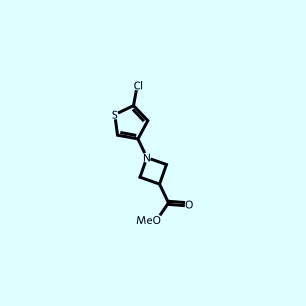 COC(=O)C1CN(c2csc(Cl)c2)C1